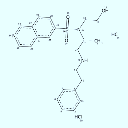 C[C@H](CNCCc1ccccc1)N(CCO)S(=O)(=O)c1ccc2cnccc2c1.Cl.Cl